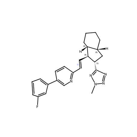 Cn1nnc([C@H]2C[C@H]3CCCC[C@H]3[C@@H]2/C=C/c2ccc(-c3cccc(F)c3)cn2)n1